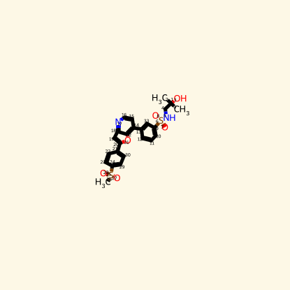 CC(C)(O)CNS(=O)(=O)c1cccc(-c2ccnc3cc(-c4ccc(S(C)(=O)=O)cc4)oc23)c1